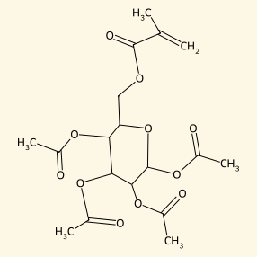 C=C(C)C(=O)OCC1OC(OC(C)=O)C(OC(C)=O)C(OC(C)=O)C1OC(C)=O